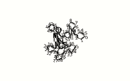 c1ccc(-n2c3ccccc3c3cc(-c4nc(-n5c6ccccc6c6c7ccccc7c7c8ccccc8sc7c65)nc5c4oc4ccccc45)ccc32)cc1